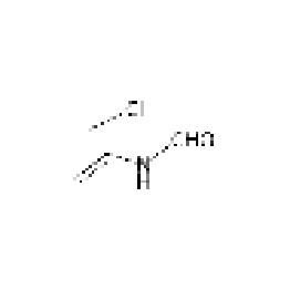 C=CNC=O.CCl